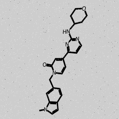 Cn1ccc2ccc(Cn3ccc(-c4ccnc(NC5CCOCC5)n4)cc3=O)cc21